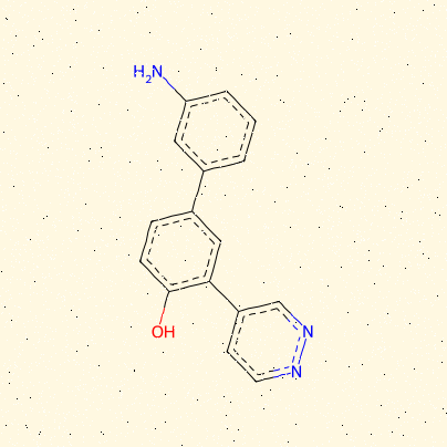 Nc1cccc(-c2ccc(O)c(-c3ccnnc3)c2)c1